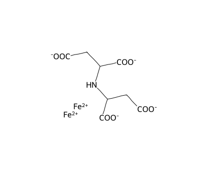 O=C([O-])CC(NC(CC(=O)[O-])C(=O)[O-])C(=O)[O-].[Fe+2].[Fe+2]